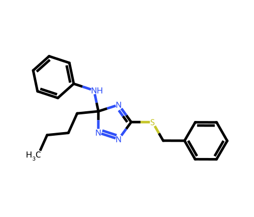 CCCCC1(Nc2ccccc2)N=NC(SCc2ccccc2)=N1